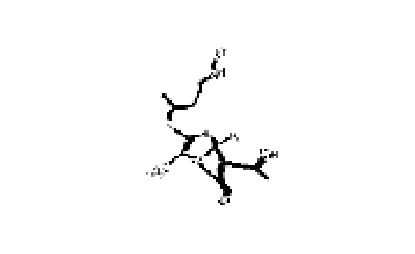 CCNCCC(C)SC1=C(C(=O)O)N2C(=O)C(C(C)O)[C@H]2S1